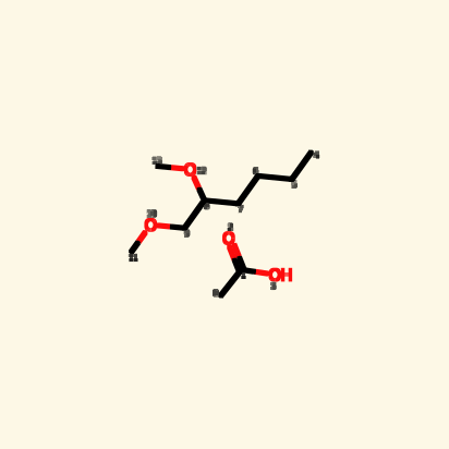 CC(=O)O.CCCCC(COC)OC